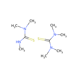 CN(C)C(=S)N(C)C.CNC(=S)N(C)C